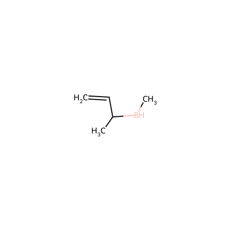 C=CC(C)BC